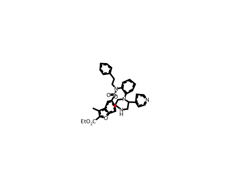 CCOC(=O)c1oc2ccc(S(=O)(=O)N(CCc3ccccc3)c3ccccc3N3CCNCC3c3ccncc3)cc2c1C